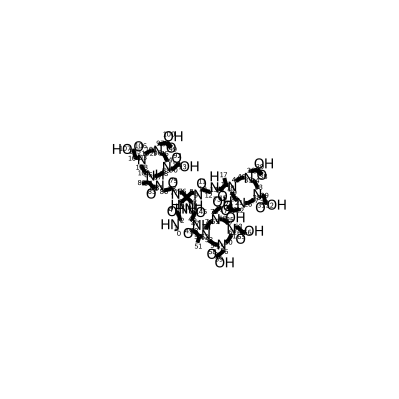 CNCC(=O)NCC(CNC(=O)CNC(=O)C(C)N1CCN(CC(=O)O)CCN(CC(=O)O)CCN(CC(=O)O)CC1)(CNC(=O)CNC(=O)C(C)N1CCN(CC(=O)O)CCN(CC(=O)O)CCN(CC(=O)O)CC1)CNC(=O)CNC(=O)C(C)N1CCN(CC(=O)O)CCN(CC(=O)O)CCN(CC(=O)O)CC1